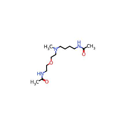 CC(=O)NCCCCN(C)CCOCCNC(C)=O